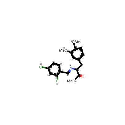 COC(=O)C(Cc1ccc(OC)c(OC)c1)N=Cc1ccc(Cl)cc1Cl